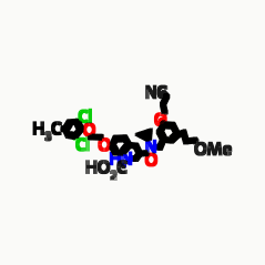 COCCCc1cc(CN(C(=O)C(CNC(=O)O)Cc2ccc(OCCOc3c(Cl)cc(C)cc3Cl)cc2)C2CC2)cc(OCCCC#N)c1